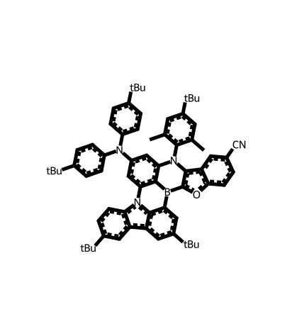 Cc1cc(C(C)(C)C)cc(C)c1N1c2cc(N(c3ccc(C(C)(C)C)cc3)c3ccc(C(C)(C)C)cc3)cc3c2B(c2oc4ccc(C#N)cc4c21)c1cc(C(C)(C)C)cc2c4cc(C(C)(C)C)ccc4n-3c12